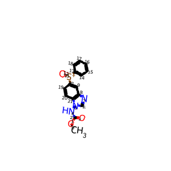 COC(=O)Nn1cnc2cc([S+]([O-])c3ccccc3)ccc21